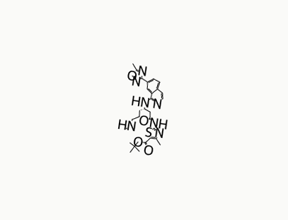 CNCCC[C@@H](CC(=O)Nc1nc(C)c(C(=O)OC(C)(C)C)s1)Nc1nccc2ccc(-c3noc(C)n3)cc12